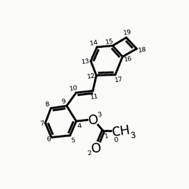 CC(=O)Oc1ccccc1C=Cc1ccc2c(c1)C=C2